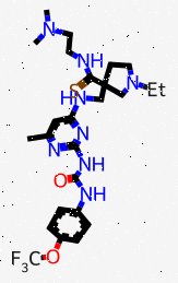 CCN1CCC(CNc2cc(C)nc(NC(=O)Nc3ccc(OC(F)(F)F)cc3)n2)(C(=S)NCCN(C)C)C1